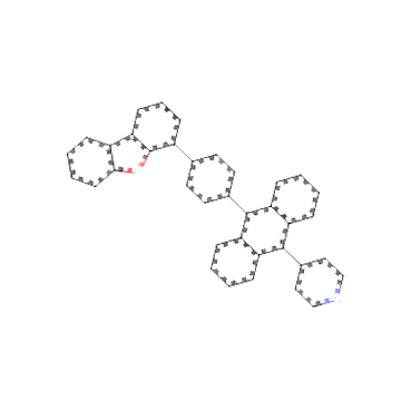 c1ccc2c(c1)oc1c(-c3ccc(-c4c5ccccc5c(-c5ccncc5)c5ccccc45)cc3)cccc12